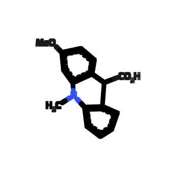 COc1ccc2c(c1)N(C)c1ccccc1C2C(=O)O